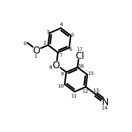 COc1ccccc1Oc1ccc(C#N)cc1Cl